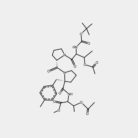 COC(=O)C(NC(=O)[C@]1(Cc2ccc(C)cc2)CCCN1C(=O)[C@@H]1CCCN1C(=O)C(NC(=O)OC(C)(C)C)C(C)OC(C)=O)C(C)OC(C)=O